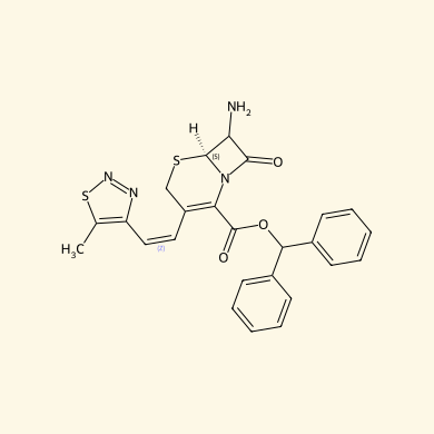 Cc1snnc1/C=C\C1=C(C(=O)OC(c2ccccc2)c2ccccc2)N2C(=O)C(N)[C@@H]2SC1